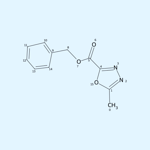 Cc1nnc(C(=O)OCc2ccccc2)o1